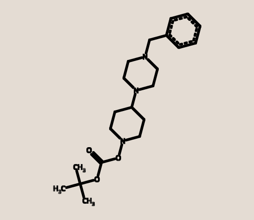 CC(C)(C)OC(=O)ON1CCC(N2CCN(Cc3ccccc3)CC2)CC1